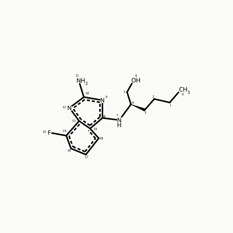 CCCC[C@H](CO)Nc1nc(N)nc2c(F)cccc12